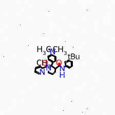 Cc1cccnc1C(=O)N1CCCC(C(=O)Nc2cccc(C(C)(C)C)c2)C1c1ccc(N(C)C)cc1